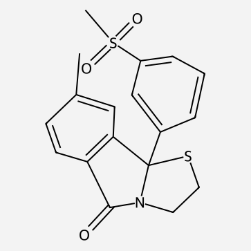 Cc1ccc2c(c1)C1(c3cccc(S(C)(=O)=O)c3)SCCN1C2=O